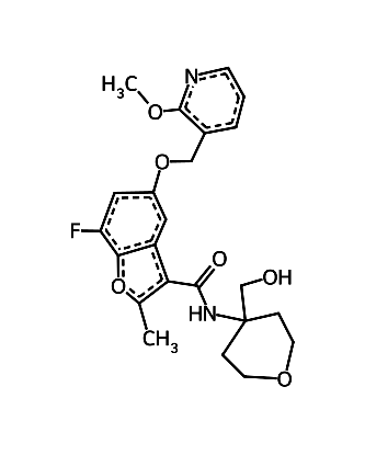 COc1ncccc1COc1cc(F)c2oc(C)c(C(=O)NC3(CO)CCOCC3)c2c1